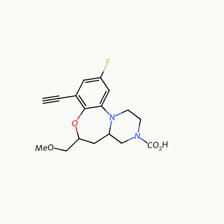 C#Cc1cc(F)cc2c1OC(COC)CC1CN(C(=O)O)CCN21